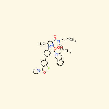 CCCCN(CCCC)C(=O)c1cc(C)n(-c2ccc(-c3ccc(C(=O)N4CCCC4)c(F)c3)cc2C(=O)N2Cc3ccccc3C[C@H]2CO)n1